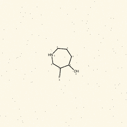 OC1CCCNCC1F